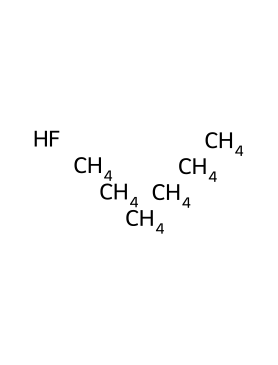 C.C.C.C.C.C.F